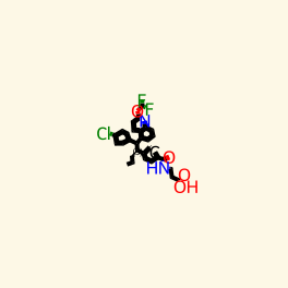 CCC[C@H](c1ccc(C(=O)NCCC(=O)O)cc1)C(c1ccc(Cl)cc1)c1cccc2nc(OC(F)F)ccc12